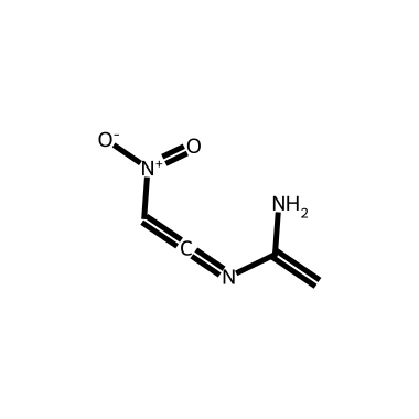 C=C(N)N=C=C[N+](=O)[O-]